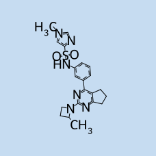 CC1CCN1c1nc2c(c(-c3cccc(NS(=O)(=O)c4cn(C)cn4)c3)n1)CCC2